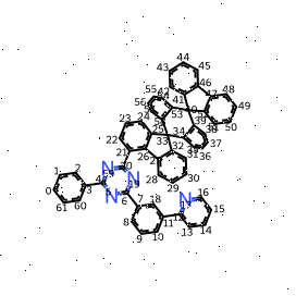 c1ccc(-c2nc(-c3cccc(-c4ccccn4)c3)nc(-c3cccc4c3-c3ccccc3C43c4ccccc4C4(c5ccccc5-c5ccccc54)c4ccccc43)n2)cc1